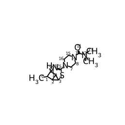 CC1C2C3SC(N4CCN(C(=O)N(C)C)CC4)=N[C@@H]1C32